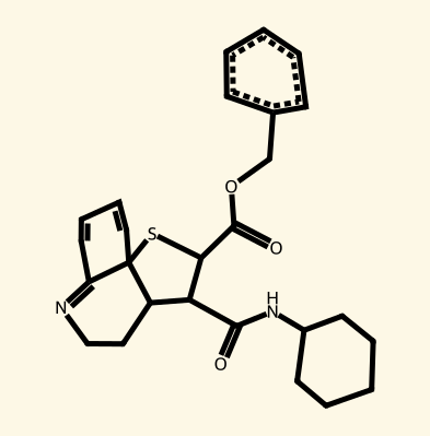 O=C(OCc1ccccc1)C1SC23C=CC=CC2=NCCC3C1C(=O)NC1CCCCC1